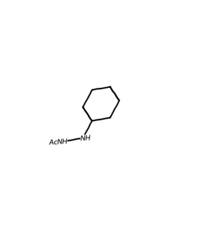 CC(=O)NNC1CCCCC1